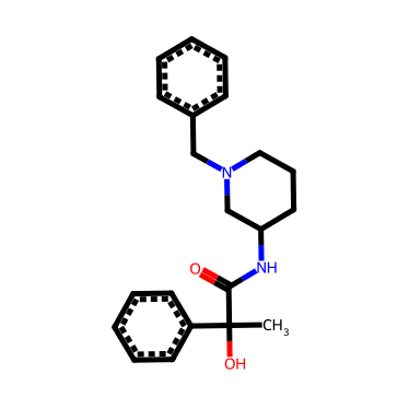 CC(O)(C(=O)NC1CCCN(Cc2ccccc2)C1)c1ccccc1